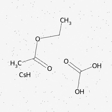 CCOC(C)=O.O=C(O)O.[CsH]